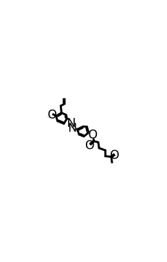 C=CCc1cc(N=Nc2ccc(OC(=O)CCCCC(C)=O)cc2)ccc1OC